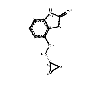 O=C1Cc2c(cccc2OC[C@@H]2CO2)N1